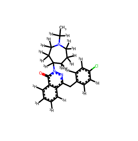 [2H]c1c([2H])c(Cc2nn(C3([2H])C([2H])([2H])C([2H])([2H])N(C([2H])([2H])C)C([2H])([2H])C([2H])([2H])C3([2H])[2H])c(=O)c3c([2H])c([2H])c([2H])c([2H])c23)c([2H])c([2H])c1Cl